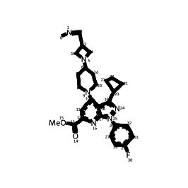 C/N=C\C1CN(C2CCN(c3cc(C(=O)OC)nc4c3c(C3CCC3)nn4-c3ccc(F)cc3)CC2)C1